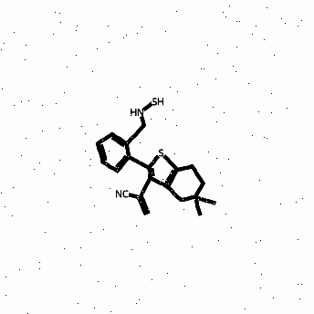 C=C(C#N)c1c(-c2ccccc2CNS)sc2c1CC(C)(C)CC2